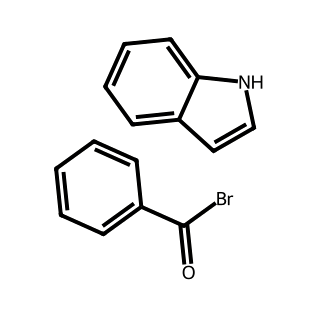 O=C(Br)c1ccccc1.c1ccc2[nH]ccc2c1